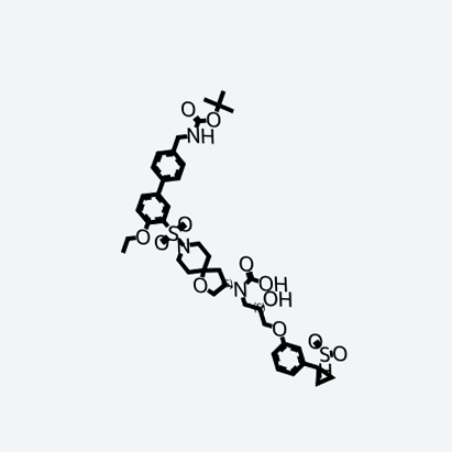 CCOc1ccc(-c2ccc(CNC(=O)OC(C)(C)C)cc2)cc1S(=O)(=O)N1CCC2(CC1)C[C@H](N(C[C@H](O)COc1cccc(C3([SH](=O)=O)CC3)c1)C(=O)O)CO2